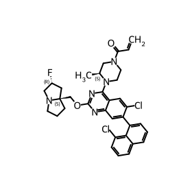 C=CC(=O)N1CCN(c2nc(OC[C@@]34CCCN3C[C@H](F)C4)nc3cc(-c4cccc5cccc(Cl)c45)c(Cl)cc23)[C@@H](C)C1